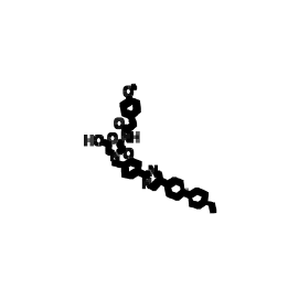 CC[C@H]1CC[C@@H]([C@@H]2CC=C(c3cnc(-c4ccc(CN(CC(=O)O)C(=O)CNC(=O)Cc5ccc(OC)cc5)cc4)nc3)CC2)CC1